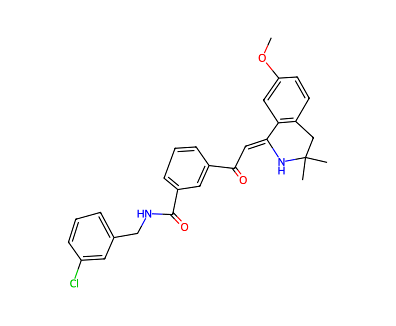 COc1ccc2c(c1)C(=CC(=O)c1cccc(C(=O)NCc3cccc(Cl)c3)c1)NC(C)(C)C2